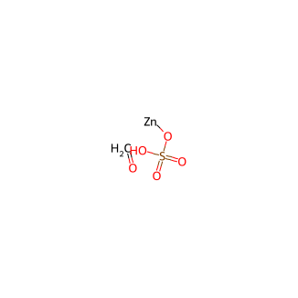 C=O.O=S(=O)(O)[O][Zn]